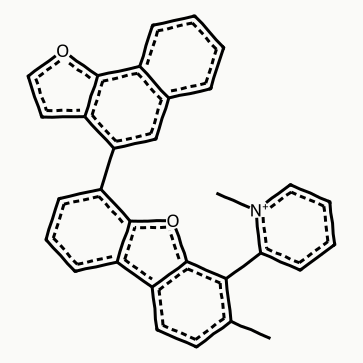 Cc1ccc2c(oc3c(-c4cc5ccccc5c5occc45)cccc32)c1-c1cccc[n+]1C